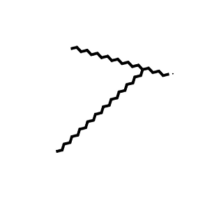 [CH2]CCCCC(CCCCCCCCCCCCCC)CCCCCCCCCCCCCCCCCCCCCC